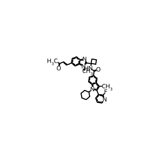 CC(=O)/C=C/c1ccc2nc(C3(NC(=O)c4ccc5c(c4)c(C)c(-c4cccnc4F)n5C4CCCCC4)CCC3)n(C)c2c1